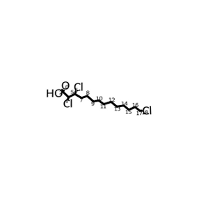 O=C(O)C(Cl)C(Cl)CCCCCCCCCCCCl